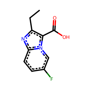 CCc1nc2ccc(F)cn2c1C(=O)O